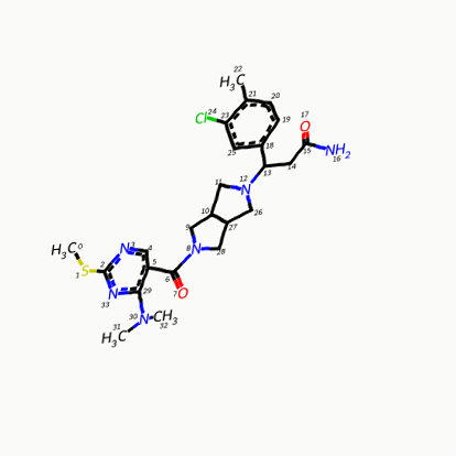 CSc1ncc(C(=O)N2CC3CN(C(CC(N)=O)c4ccc(C)c(Cl)c4)CC3C2)c(N(C)C)n1